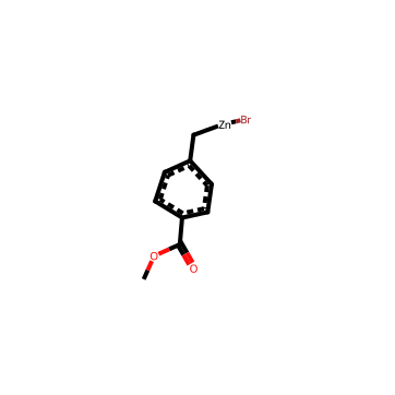 COC(=O)c1ccc([CH2][Zn][Br])cc1